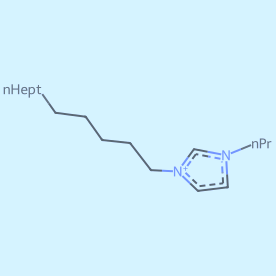 CCCCCCCCCCCC[n+]1ccn(CCC)c1